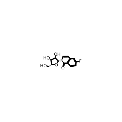 O=c1c2ccc(F)cc2ccn1[C@@H]1O[C@H](CO)[C@@H](O)[C@H]1O